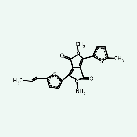 C/C=C/c1ccc(C2=C3C(=O)N(C)C(c4ccc(C)s4)=C3C(=O)N2N)s1